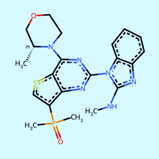 CNc1nc2ccccc2n1-c1nc(N2CCOC[C@H]2C)c2scc(P(C)(C)=O)c2n1